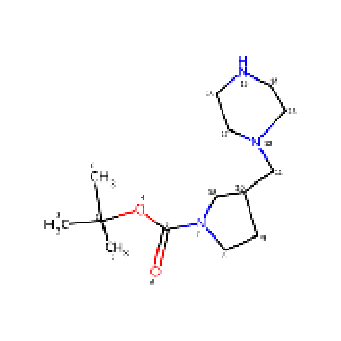 CC(C)(C)OC(=O)N1CCC(CN2CCNCC2)C1